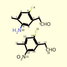 Cc1cc(F)c(CC=O)cc1N.Cc1cc(F)c(CC=O)cc1[N+](=O)[O-]